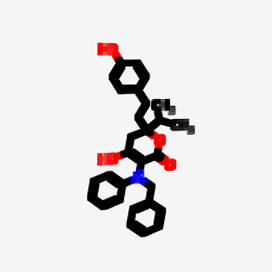 CC(C)C1(CCc2ccc(O)cc2)CC(O)=C(N(Cc2ccccc2)c2ccccc2)C(=O)O1